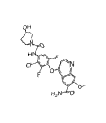 COc1cc2nccc(Oc3c(F)cc(NC(=O)N4CC[C@@H](O)C4)c(Cl)c3F)c2cc1C(N)=O